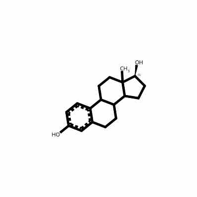 CC12CCC3c4ccc(O)cc4CCC3C1CC[C@@H]2O